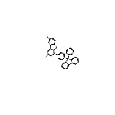 Cc1ccc2sc3c(-c4ccc(C5(c6ccccc6)c6ccccc6-c6ccccc65)cc4)cc(C)cc3c2c1